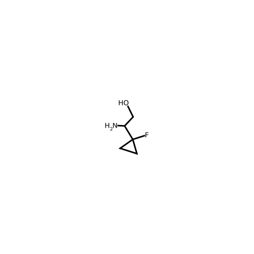 NC(CO)C1(F)CC1